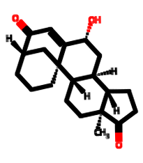 C[C@]12CC[C@H]3[C@@H](C[C@@H](O)C4=CC(=O)[C@H]5CCC[C@]43C5)[C@@H]1CCC2=O